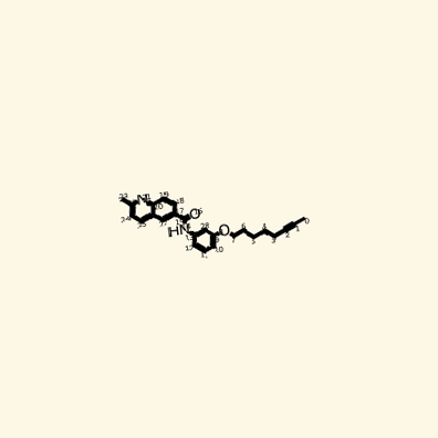 CC#CCCCCCOc1cccc(NC(=O)c2ccc3nc(C)ccc3c2)c1